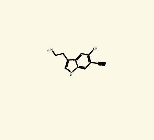 C#Cc1cc2[nH]cc(CCN)c2cc1O